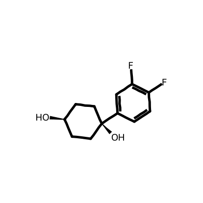 O[C@H]1CC[C@](O)(c2ccc(F)c(F)c2)CC1